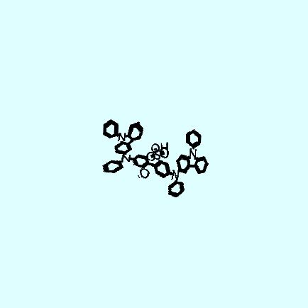 COc1cc(N(c2ccccc2)c2ccc3c(c2)c2ccccc2n3-c2ccccc2)ccc1-c1ccc(N(c2ccccc2)c2ccc3c(c2)c2ccccc2n3-c2ccccc2)cc1S(=O)(=O)O